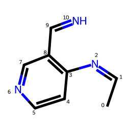 C/C=N\c1ccncc1C=N